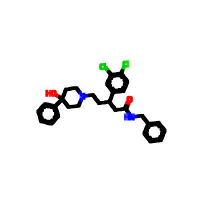 O=C(CC(CCN1CCC(O)(c2ccccc2)CC1)c1ccc(Cl)c(Cl)c1)NCc1ccccc1